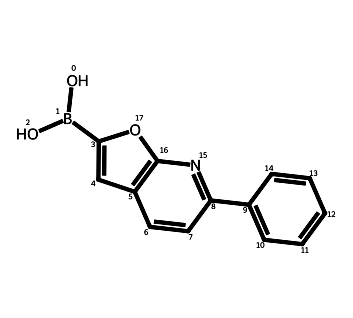 OB(O)c1cc2ccc(-c3ccccc3)nc2o1